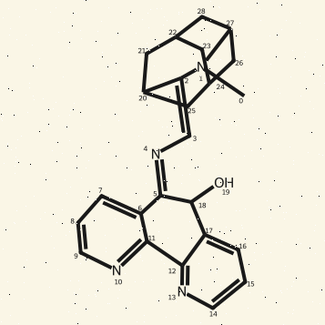 CN1/C(=C/N=C2/c3cccnc3-c3ncccc3C2O)C2CC3CC(C2)CC1C3